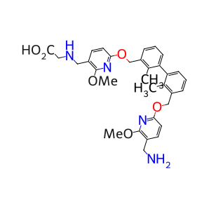 COc1nc(OCc2cccc(-c3cccc(COc4ccc(CNCC(=O)O)c(OC)n4)c3C)c2C)ccc1CN